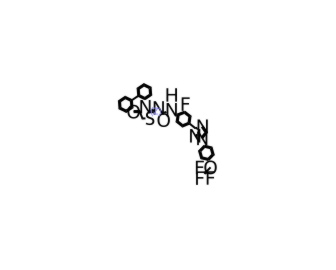 O=C(/N=C1\SCC(=O)N1c1ccccc1-c1ccccc1)Nc1ccc(-c2ncn(-c3ccc(OC(F)(F)F)cc3)n2)cc1F